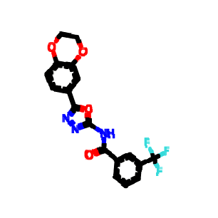 O=C(Nc1nnc(-c2ccc3c(c2)OCCO3)o1)c1cccc(C(F)(F)F)c1